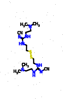 CN(C)CCNC(=NC#N)NCCSSCCNC(=NC#N)NCCN(C)C